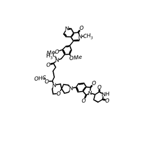 COc1cc(-c2cn(C)c(=O)c3cnccc23)cc(OC)c1CN(C)C(=O)CCCC(OC=O)N1CCOC2(CCN(c3ccc4c(c3)C(=O)N(C3CCC(=O)NC3=O)C4=O)CC2)C1